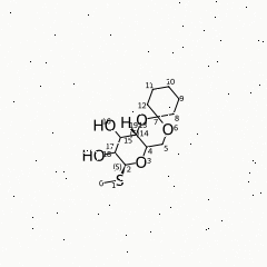 CS[C@@H]1OC2COC3(CCCCC3)O[C@H]2C(O)C1O